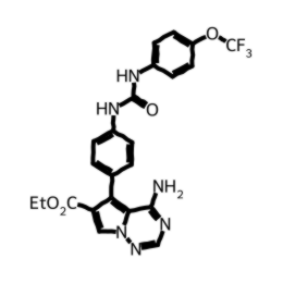 CCOC(=O)c1cn2ncnc(N)c2c1-c1ccc(NC(=O)Nc2ccc(OC(F)(F)F)cc2)cc1